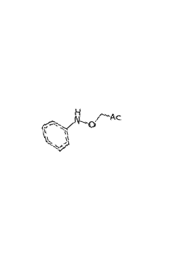 CC(=O)CONc1ccccc1